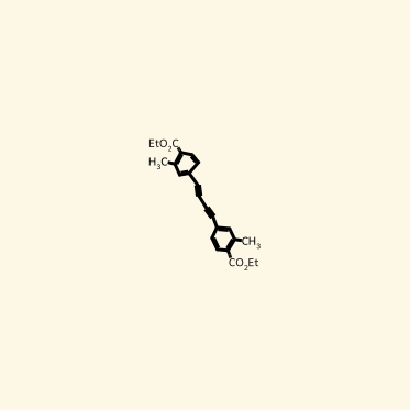 CCOC(=O)c1ccc(C#CC#Cc2ccc(C(=O)OCC)c(C)c2)cc1C